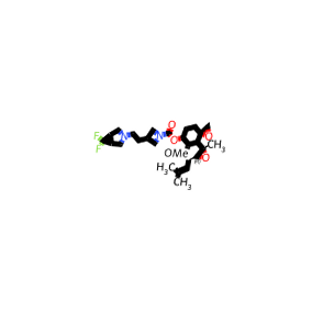 COC1C(OC(=O)N2CC(CCN3CC4C(C3)C4(F)F)C2)CCC2(CO2)C1[C@@]1(C)O[C@@H]1CC=C(C)C